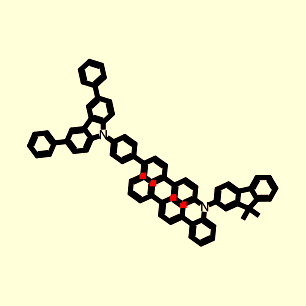 CC1(C)c2ccccc2-c2ccc(N(c3ccc(-c4ccc(-c5ccc(-n6c7ccc(-c8ccccc8)cc7c7cc(-c8ccccc8)ccc76)cc5)cc4)cc3)c3ccccc3-c3ccc(-c4ccccc4)cc3)cc21